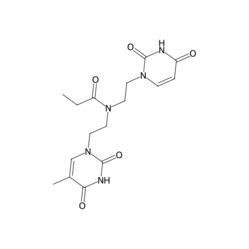 CCC(=O)N(CCn1ccc(=O)[nH]c1=O)CCn1cc(C)c(=O)[nH]c1=O